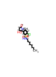 CCCCCCCCNS(=O)(=O)c1cc(C2(O)CCC(=O)N2C)ccc1Cl